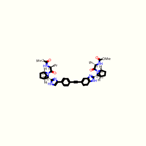 COC(=O)N[C@H](C(=O)N1[C@@H]2CC[C@@H](C2)[C@H]1c1nc(-c2ccc(C#Cc3ccc4[nH]c([C@@H]5[C@H]6CC[C@H](C6)N5C(=O)[C@@H](NC(=O)OC)C(C)C)nc4c3)cc2)c[nH]1)C(C)C